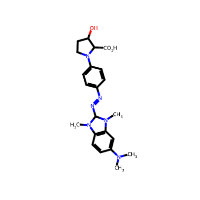 CN(C)c1ccc2c(c1)N(C)C(N=Nc1ccc(N3CCC(O)C3C(=O)O)cc1)N2C